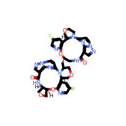 O=C1NC[C@H](CC2COC[C@@H]3c4cc(F)cnc4O[C@H]4COC[C@H]4NC(=O)c4cnn5ccc(nc45)N23)Oc2ncc(F)cc2[C@H]2COCCN2c2ccn3ncc1c3n2